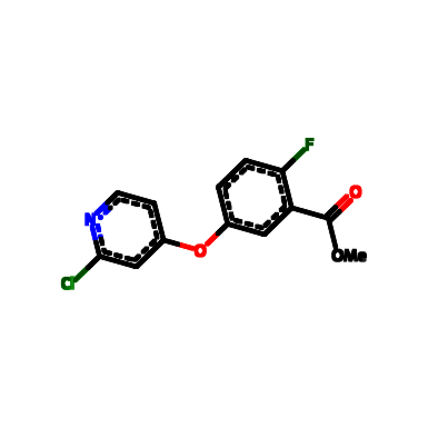 COC(=O)c1cc(Oc2ccnc(Cl)c2)ccc1F